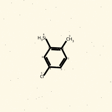 Cc1ccc(Cl)cc1[SiH3]